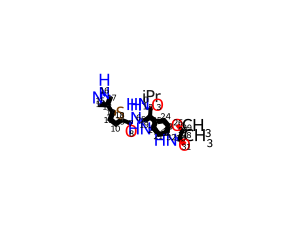 CC(C)NC(=O)c1c(NC(=O)c2ccc(-c3cn[nH]c3)s2)[nH]c2cc3c(cc12)OC(C)(C)C(=O)N3